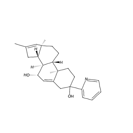 CC1=C[C@@]2(C)CC[C@H]3[C@@H]([C@@H](O)C=C4CC(O)(c5ccccn5)CC[C@@]43C)[C@@H]2C1